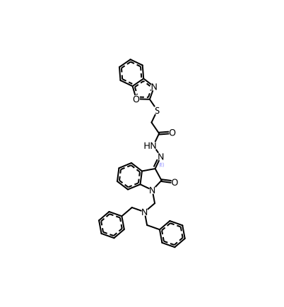 O=C(CSc1nc2ccccc2o1)N/N=C1/C(=O)N(CN(Cc2ccccc2)Cc2ccccc2)c2ccccc21